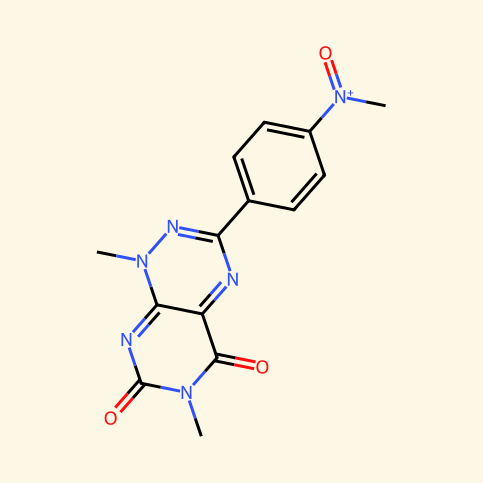 Cn1nc(-c2ccc([N+](C)=O)cc2)nc2c(=O)n(C)c(=O)nc1-2